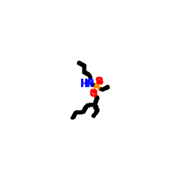 CCCCNP(=O)(CC)OCC(CC)CCCC